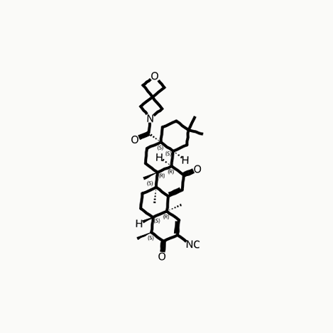 [C-]#[N+]C1=C[C@]2(C)C3=CC(=O)[C@@H]4[C@@H]5CC(C)(C)CC[C@]5(C(=O)N5CC6(COC6)C5)CC[C@@]4(C)[C@]3(C)CC[C@H]2[C@H](C)C1=O